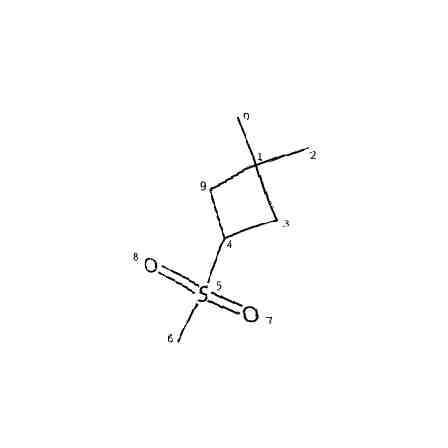 CC1(C)CC(S(C)(=O)=O)C1